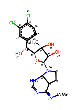 CN/N=C1/N=CNC2C1CCN2[C@@H]1O[C@H]([C@H](O)c2ccc(Cl)c(Cl)c2)[C@@](C)(O)[C@H]1O